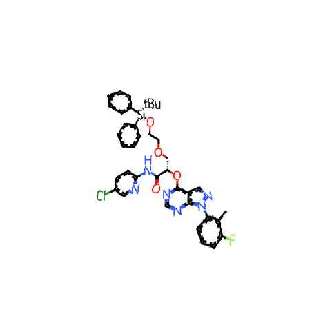 Cc1c(F)cccc1-n1ncc2c(O[C@@H](COCCO[Si](c3ccccc3)(c3ccccc3)C(C)(C)C)C(=O)Nc3ccc(Cl)cn3)ncnc21